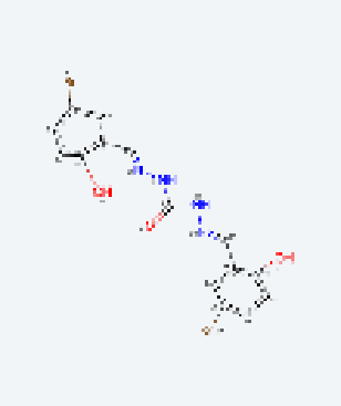 O=C(N/N=C/c1cc(Br)ccc1O)N/N=C/c1cc(Br)ccc1O